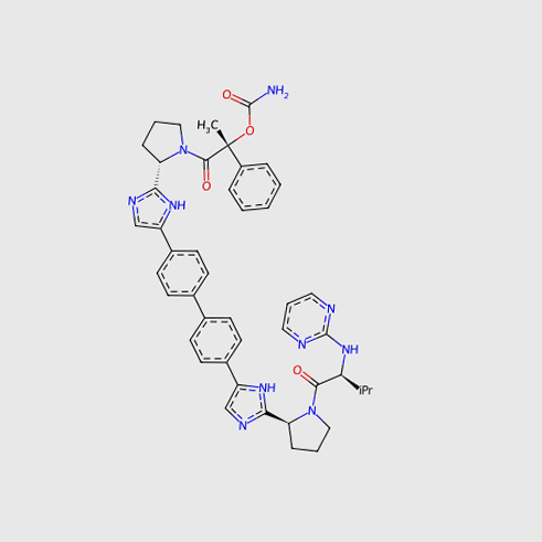 CC(C)[C@H](Nc1ncccn1)C(=O)N1CCC[C@H]1c1ncc(-c2ccc(-c3ccc(-c4cnc([C@@H]5CCCN5C(=O)[C@](C)(OC(N)=O)c5ccccc5)[nH]4)cc3)cc2)[nH]1